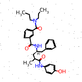 CCCN(CCC)C(=O)c1cccc(C(=O)N[C@H]([CH]C(C)C(=O)Nc2ccc(O)cc2)Cc2ccccc2)c1